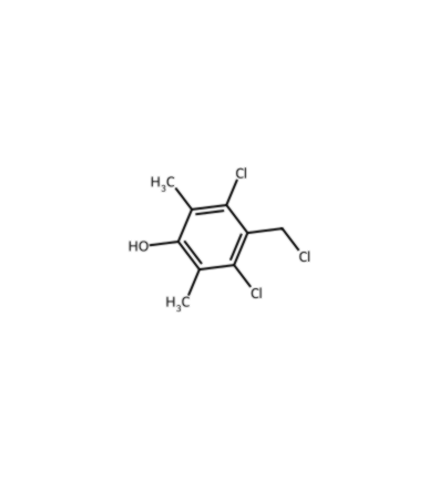 Cc1c(O)c(C)c(Cl)c(CCl)c1Cl